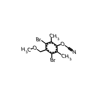 COCc1c(Br)c(C)c(OC#N)c(C)c1Br